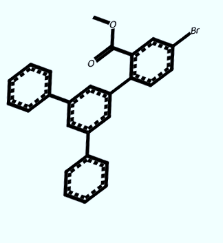 COC(=O)c1cc(Br)ccc1-c1cc(-c2ccccc2)cc(-c2ccccc2)c1